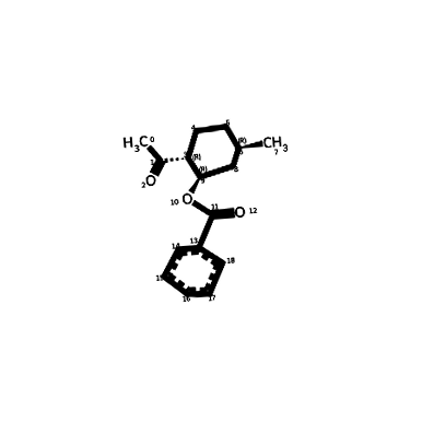 CC(=O)[C@@H]1CC[C@@H](C)C[C@H]1OC(=O)c1ccccc1